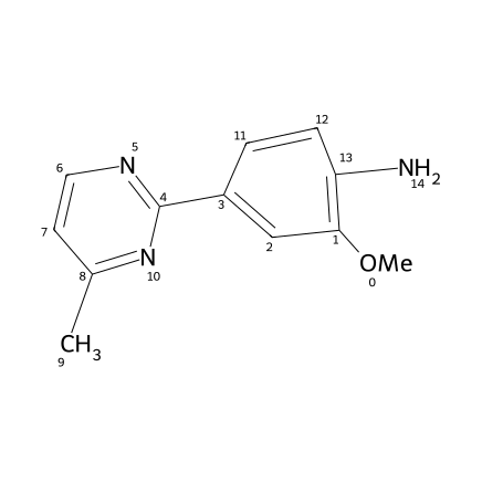 COc1cc(-c2nccc(C)n2)ccc1N